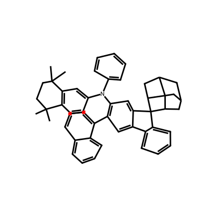 CC1(C)CCC(C)(C)c2cc(N(c3ccccc3)c3cc4c(cc3-c3cccc5ccccc35)-c3ccccc3C43C4CC5CC6CC3C64C5)ccc21